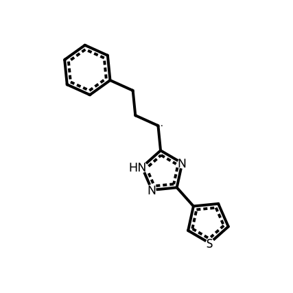 [CH](CCc1ccccc1)c1nc(-c2ccsc2)n[nH]1